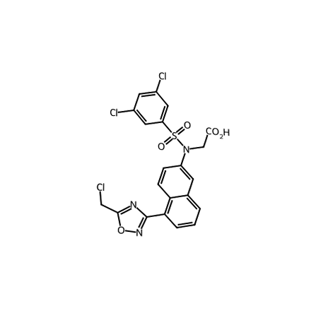 O=C(O)CN(c1ccc2c(-c3noc(CCl)n3)cccc2c1)S(=O)(=O)c1cc(Cl)cc(Cl)c1